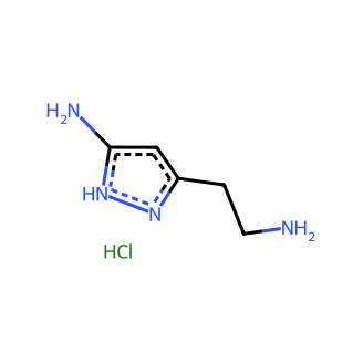 Cl.NCCc1cc(N)[nH]n1